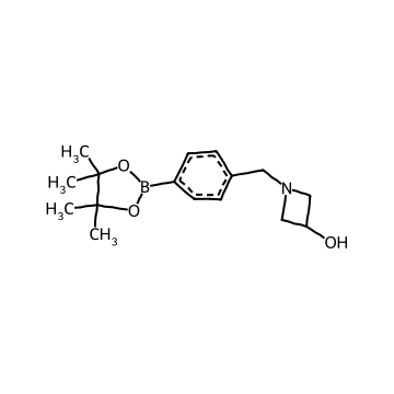 CC1(C)OB(c2ccc(CN3CC(O)C3)cc2)OC1(C)C